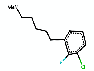 CNCCCCCc1cccc(Cl)c1F